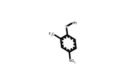 CCCSc1ccc([N+](=O)[O-])cc1C(F)(F)F